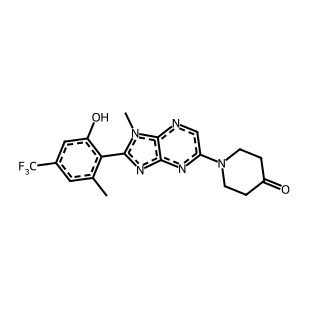 Cc1cc(C(F)(F)F)cc(O)c1-c1nc2nc(N3CCC(=O)CC3)cnc2n1C